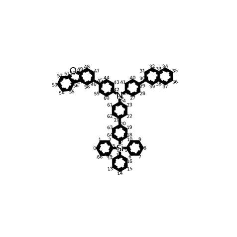 c1ccc([Si](c2ccccc2)(c2ccccc2)c2ccc(-c3ccc(N(c4ccc(-c5ccc6ccccc6c5)cc4)c4ccc(-c5ccc6oc7ccccc7c6c5)cc4)cc3)cc2)cc1